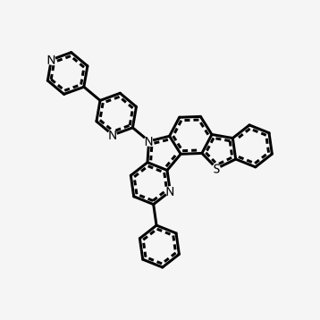 c1ccc(-c2ccc3c(n2)c2c4sc5ccccc5c4ccc2n3-c2ccc(-c3ccncc3)cn2)cc1